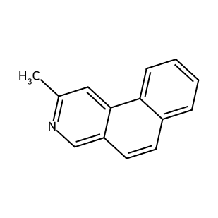 Cc1cc2c(ccc3ccccc32)cn1